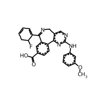 COc1cccc(Nc2ncc3c(n2)-c2ccc(C(=O)O)cc2C(C2=CC=CCC2F)=NC3)c1